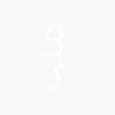 CC=COC(=O)Cc1ccccc1